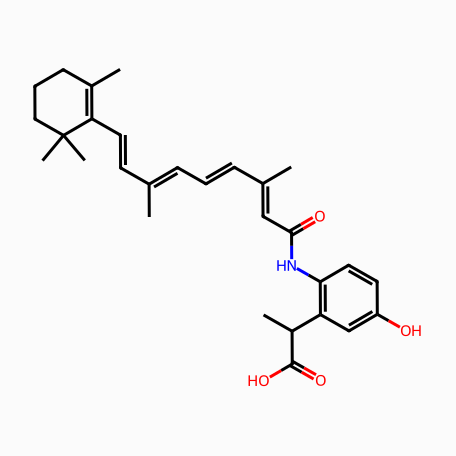 CC(C=CC1=C(C)CCCC1(C)C)=CC=CC(C)=CC(=O)Nc1ccc(O)cc1C(C)C(=O)O